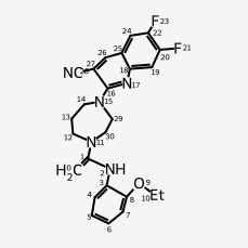 C=C(Nc1ccccc1OCC)N1CCCN(c2nc3cc(F)c(F)cc3cc2C#N)CC1